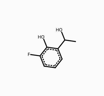 CC(O)c1cccc(F)c1O